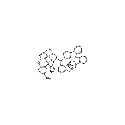 CC(C)(C)c1ccc2c(c1)C1(c3cc(C(C)(C)C)ccc3O2)c2ccccc2-c2c(N(c3ccc4c(c3)C3(c5ccccc5-c5ccccc53)c3ccccc3-4)c3cccc4ccccc34)cccc21